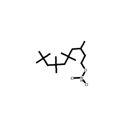 CC(CCO[SiH](Cl)Cl)CC(C)(C)CC(C)(C)CC(C)(C)C